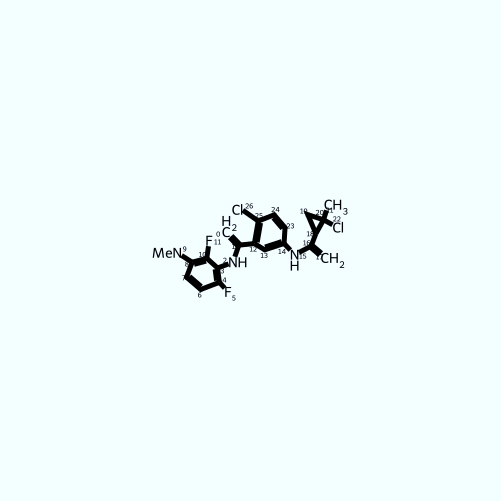 C=C(Nc1c(F)ccc(NC)c1F)c1cc(NC(=C)C2CC2(C)Cl)ccc1Cl